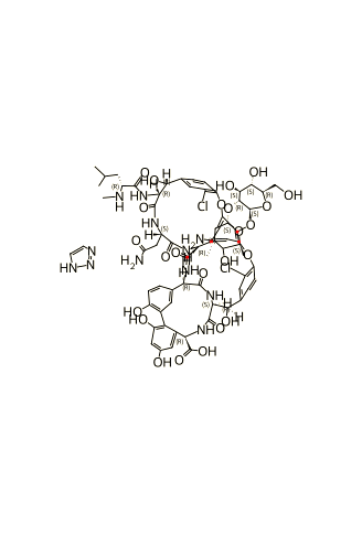 CN[C@H](CC(C)C)C(=O)N[C@H]1C(=O)N[C@@H](CC(N)=O)C(=O)N[C@H]2C(=O)N[C@H]3C(=O)N[C@H](C(=O)N[C@@H](C(=O)O)c4cc(O)cc(O)c4-c4cc3ccc4O)[C@H](O)c3ccc(c(Cl)c3)Oc3cc2cc(c3O[C@@H]2O[C@H](CO)[C@@H](O)[C@H](O)[C@H]2O[C@H]2C[C@](C)(N)C(O)[C@H](C)O2)Oc2ccc(cc2Cl)[C@H]1O.c1c[nH]nn1